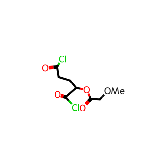 COCC(=O)OC(CCC(=O)Cl)C(=O)Cl